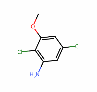 COc1cc(Cl)cc(N)c1Cl